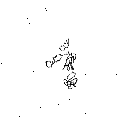 CCS(=O)(=O)c1ccc(CNC(=O)N2CC(c3cccc(Cl)c3)C(c3cccc4cnccc34)C2)cc1